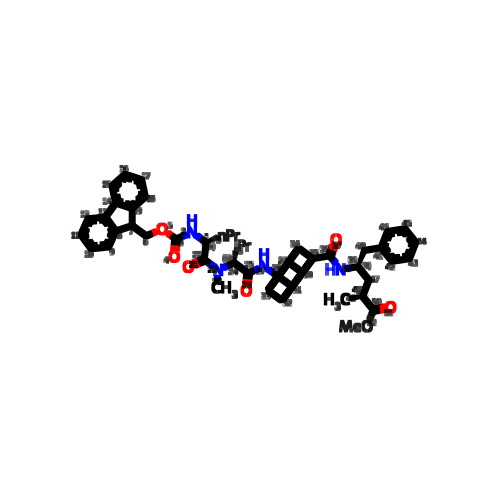 CCC[C@H](NC(=O)OCC1c2ccccc2-c2ccccc21)C(=O)N(C)[C@H](C(=O)NC12C3C4C1C1C2C3C41C(=O)N[C@@H](Cc1ccccc1)C[C@H](C)C(=O)OC)C(C)C